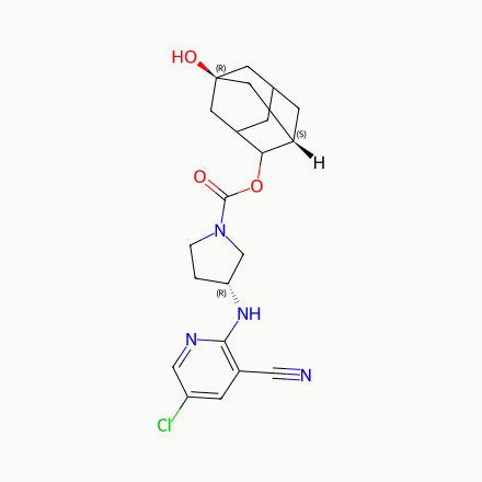 N#Cc1cc(Cl)cnc1N[C@@H]1CCN(C(=O)OC2C3CC4C[C@H]2C[C@@](O)(C4)C3)C1